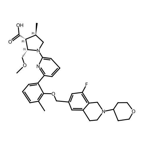 COC[C@@H]1[C@H](C(=O)O)[C@@H](C)CN1c1cccc(-c2cccc(C)c2OCc2cc(F)c3c(c2)CCN(C2CCOCC2)C3)n1